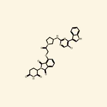 O=C1CCC(N2C(=O)c3cccc(OCC(=O)N4CC[C@@H](Nc5ncc(Cl)c(-c6c[nH]c7ccccc67)n5)C4)c3C2=O)C(=O)N1